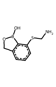 NCSc1cccc2c1B(O)OC2